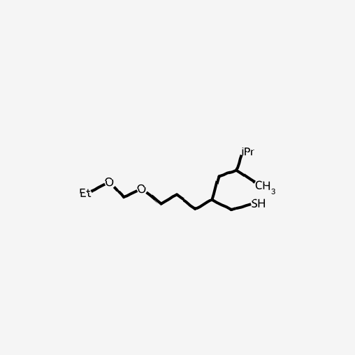 CCOCOCCCC(CS)CC(C)C(C)C